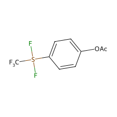 CC(=O)Oc1ccc(S(F)(F)C(F)(F)F)cc1